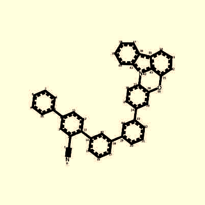 N#Cc1cc(-c2ccccc2)ccc1-c1cccc(-c2cccc(-c3ccc4c(c3)Oc3cccc5c6ccccc6n-4c35)c2)c1